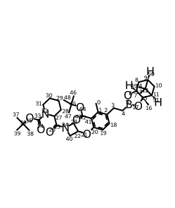 Cc1c(CCB2O[C@@H]3C[C@@H]4C[C@@H](C4(C)C)[C@]3(C)O2)ccc(OC2CN(C(=O)C3CCCCN3C(=O)OC(C)(C)C)C2)c1C(=O)OC(C)(C)C